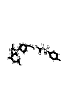 Cc1ccc(S(=O)(=O)NC(=O)NCCc2ccc(-n3c(C)nc4c(C)cc(C)nc43)cc2)cc1